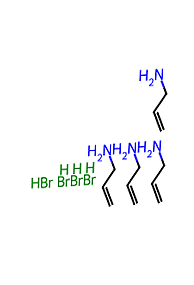 Br.Br.Br.Br.C=CCN.C=CCN.C=CCN.C=CCN